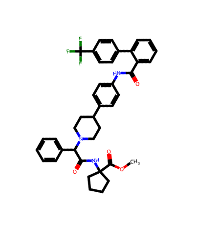 COC(=O)C1(NC(=O)C(c2ccccc2)N2CCC(c3ccc(NC(=O)c4ccccc4-c4ccc(C(F)(F)F)cc4)cc3)CC2)CCCC1